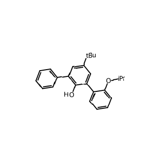 CC(C)Oc1ccccc1-c1cc(C(C)(C)C)cc(-c2ccccc2)c1O